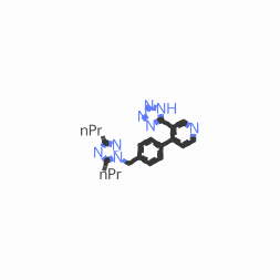 CCCc1nc(CCC)n(Cc2ccc(-c3ccncc3-c3nnn[nH]3)cc2)n1